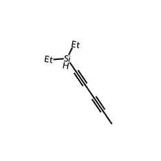 CC#CC#C[SiH](CC)CC